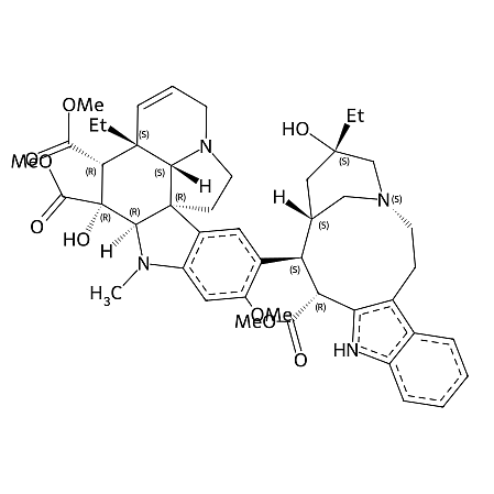 CC[C@]1(O)C[C@@H]2C[N@@](CCc3c([nH]c4ccccc34)[C@H](C(=O)OC)[C@H]2c2cc3c(cc2OC)N(C)[C@H]2[C@@](O)(C(=O)OC)[C@H](C(=O)OC)[C@]4(CC)C=CCN5CC[C@]32[C@@H]54)C1